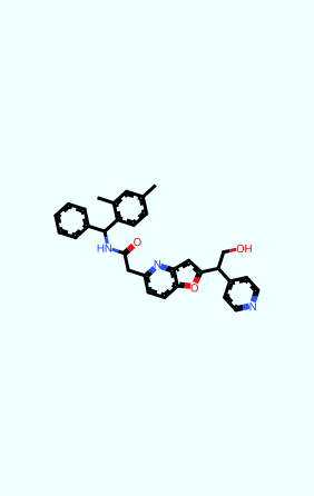 Cc1ccc(C(NC(=O)Cc2ccc3oc(C(CO)c4ccncc4)cc3n2)c2ccccc2)c(C)c1